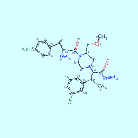 COCC1CN(C(C(N)=O)C(C)c2cccc(F)c2)CCN1C(=O)C(N)Cc1ccc(F)cc1